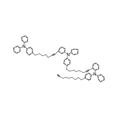 C#CCCCCCCCc1ccc(N(c2ccccc2)c2ccccc2C#CCCCCCCc2ccc(N(c3ccccc3)c3cccc(C#CCCCCCc4ccc(N(c5ccccc5)c5ccccc5)cc4)c3)cc2)cc1